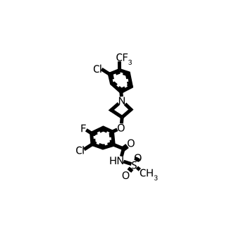 CS(=O)(=O)NC(=O)c1cc(Cl)c(F)cc1OC1CN(c2ccc(C(F)(F)F)c(Cl)c2)C1